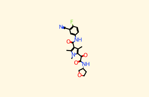 Cc1c(C(=O)Nc2ccc(F)c(C#N)c2)c(C)n(C)c1C(=O)C(=O)N[C@@H]1CCOC1